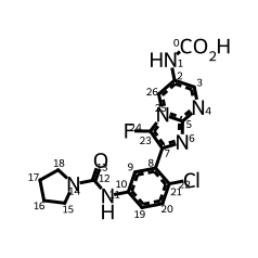 O=C(O)Nc1cnc2nc(-c3cc(NC(=O)N4CCCC4)ccc3Cl)c(F)n2c1